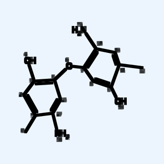 Cc1cc(O)c(Oc2cc(O)c(C)cc2N)cc1N